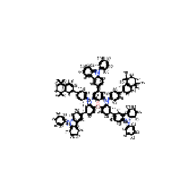 CC1(C)CCC(C)(C)c2cc(-c3ccc(N4c5cc(-c6ccc7c(c6)c6ccccc6n7-c6ccccc6)ccc5B5c6ccc(-c7ccc8c(c7)c7ccccc7n8-c7ccccc7)cc6N(c6ccc(-c7ccc8c(c7)C(C)(C)CCC8(C)C)cc6)c6cc(-c7ccc8c(c7)c7ccccc7n8-c7ccccc7)cc4c65)cc3)ccc21